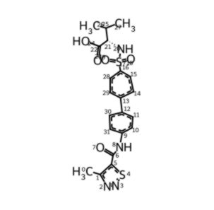 Cc1nnsc1C(=O)Nc1ccc(-c2ccc(S(=O)(=O)N[C@H](C(=O)O)C(C)C)cc2)cc1